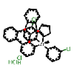 Cl.Cl.[CH2]=[Zr]([C]1=CC=CC1)([c]1cccc(Cl)c1)([c]1cccc(Cl)c1)[c]1cccc2c1c1c(c3ccccc32)-c2ccccc2C1